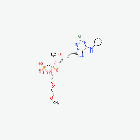 COCCOCCOP(=O)(CP(=O)(O)O)OC[C@H](CCc1cnc2c(NC3CCCC3)nc(Cl)nn12)OC